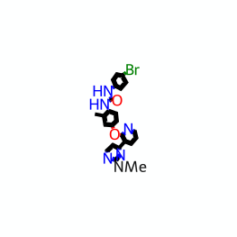 CNc1nccc(-c2cccnc2Oc2ccc(NC(=O)Nc3ccc(Br)cc3)c(C)c2)n1